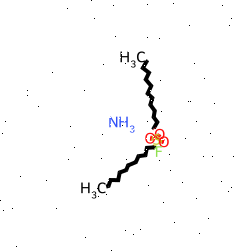 CCCCCCCCCCCCCOS(=O)(=O)C(F)CCCCCCCCCCC.N